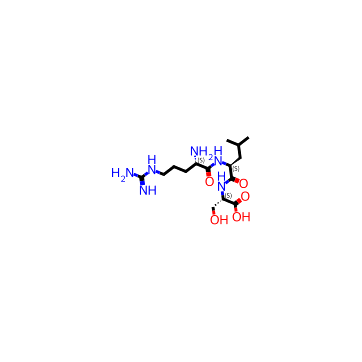 CC(C)C[C@H](NC(=O)[C@@H](N)CCCNC(=N)N)C(=O)N[C@@H](CO)C(=O)O